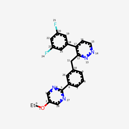 CCOc1cnc(-c2cccc(Cc3nnccc3-c3cc(F)cc(F)c3)c2)nc1